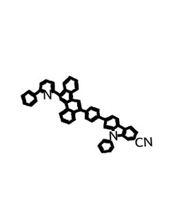 N#Cc1ccc2c3ccc(-c4ccc(-c5cc6c7ccccc7c(-c7cccc(-c8ccccc8)n7)cc6c6ccccc56)cc4)cc3n(-c3ccccc3)c2c1